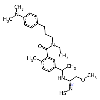 CCN(CCCc1ccc(N(C)C)cc1)C(=O)c1cc(C(C)N/C(COC)=N\S)ccc1C